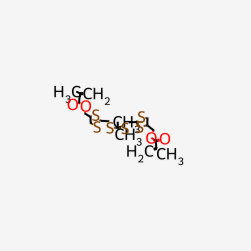 C=C(C)C(=O)OCC1CSC(CSC(C)(C)SCC2SCC(COC(=O)C(=C)C)S2)S1